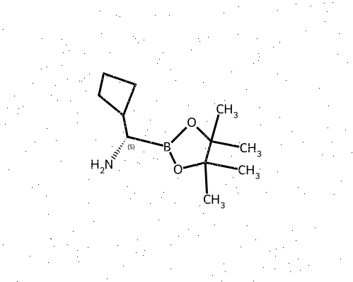 CC1(C)OB([C@H](N)C2CCC2)OC1(C)C